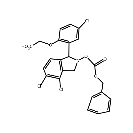 O=C(O)COc1ccc(Cl)cc1C1c2ccc(Cl)c(Cl)c2CN1OC(=O)OCc1ccccc1